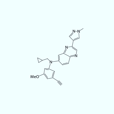 C#Cc1cc(OC)cc(N(CC2CC2)c2ccc3ncc(-c4cnn(C)c4)nc3c2)c1